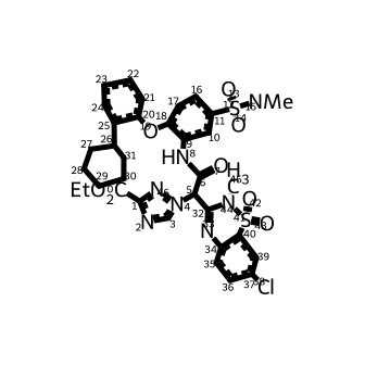 CCOC(=O)c1ncn(C(C(=O)Nc2cc(S(=O)(=O)NC)ccc2Oc2ccccc2C2CCCCC2)C2=Nc3ccc(Cl)cc3S(=O)(=O)N2C)n1